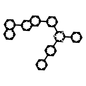 c1ccc(-c2ccc(-c3nc(-c4ccccc4)nc(-c4cccc(-c5ccc6cc(-c7cccc8ccccc78)ccc6c5)c4)n3)cc2)cc1